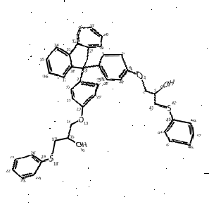 OC(COc1ccc(C2(c3ccc(OCC(O)CSc4ccccc4)cc3)c3ccccc3-c3ccccc32)cc1)CSc1ccccc1